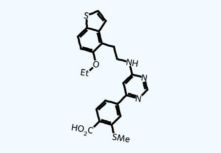 CCOc1ccc2sccc2c1CCNc1cc(-c2ccc(C(=O)O)c(SC)c2)ncn1